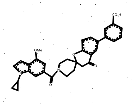 COc1cc(C(=O)N2CCC3(CC2)CC(=O)c2cc(-c4cccc(C(=O)O)c4)ccc2O3)cc2c1ccn2C1CC1